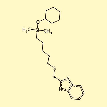 C[Si](C)(CCCSSSSc1nc2ccccc2s1)OC1CCCCC1